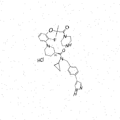 CC(C)(Oc1cccc(N2CCC[C@H](C(=O)N(Cc3ccc(-c4cn[nH]c4)cc3)C3CC3)C2)c1F)C(=O)N1CCNCC1.Cl